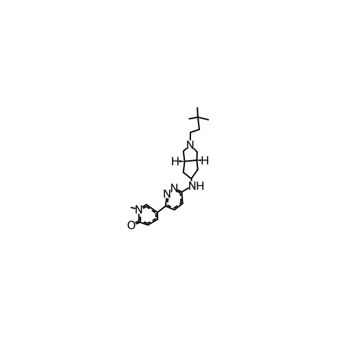 Cn1cc(-c2ccc(NC3C[C@@H]4CN(CCC(C)(C)C)C[C@@H]4C3)nn2)ccc1=O